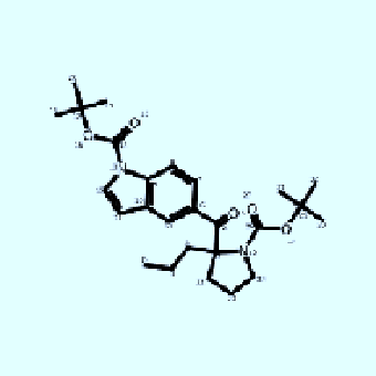 CCCC1(C(=O)c2ccc3c(ccn3C(=O)OC(C)(C)C)c2)CCCN1C(=O)OC(C)(C)C